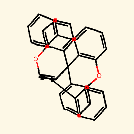 c1ccc(-c2cccc3c2C2(c4ccccc4O3)c3ccccc3Oc3cccc(-c4ccccc4)c32)cc1